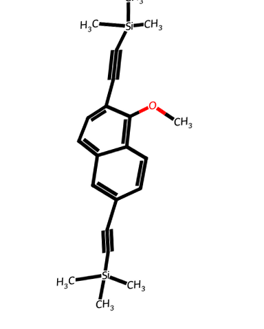 COc1c(C#C[Si](C)(C)C)ccc2cc(C#C[Si](C)(C)C)ccc12